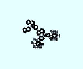 [2H]c1c([2H])c([2H])c(-c2ccc(N(c3ccc(-c4c([2H])c([2H])c([2H])c([2H])c4[2H])cc3)c3cccc4c(-c5ccc6c7ccc8ccccc8c7n(-c7ccc8ccccc8c7)c6c5)cccc34)cc2)c([2H])c1[2H]